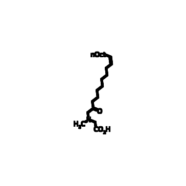 CCCCCCCC/C=C\CCCCCCCC(=O)CN(C)CC(=O)O